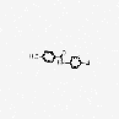 Cc1ccc(C(=O)Nc2ccc(Cl)nc2)cc1